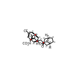 O=C(O)c1cc(Cl)cnc1NCC(=O)N1[C@@H]2CC[C@H]1CC(Oc1ccc(F)cc1)C2